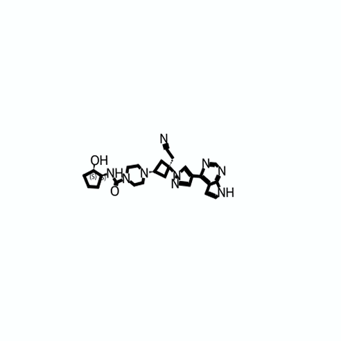 N#CC[C@]1(n2cc(-c3ncnc4[nH]ccc34)cn2)C[C@H](N2CCN(C(=O)N[C@H]3CCC[C@@H]3O)CC2)C1